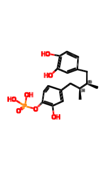 C[C@H](Cc1ccc(O)c(O)c1)[C@@H](C)Cc1ccc(OP(=O)(O)O)c(O)c1